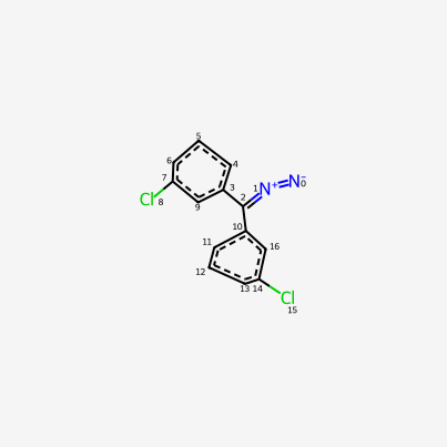 [N-]=[N+]=C(c1cccc(Cl)c1)c1cccc(Cl)c1